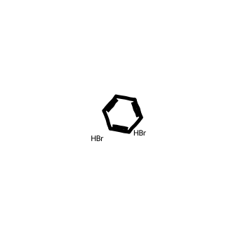 Br.Br.c1ccccc1